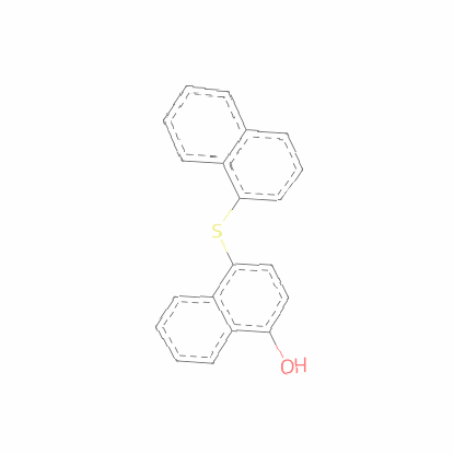 Oc1ccc(Sc2cccc3ccccc23)c2ccccc12